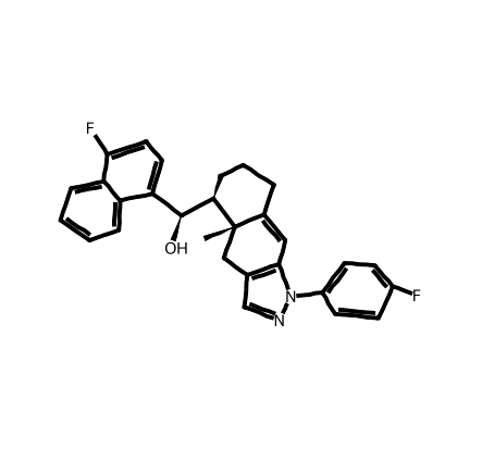 C[C@]12Cc3cnn(-c4ccc(F)cc4)c3C=C1CCC[C@@H]2[C@@H](O)c1ccc(F)c2ccccc12